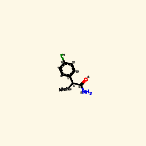 CNC(C(N)=O)c1ccc(F)cc1